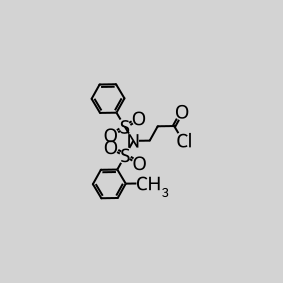 Cc1ccccc1S(=O)(=O)N(CCC(=O)Cl)S(=O)(=O)c1ccccc1